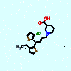 CCc1ccsc1C(=CCCN1CCCC(C(=O)O)C1)c1sccc1Br